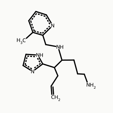 C=CCC(c1ncc[nH]1)C(CCCN)NCc1ncccc1C